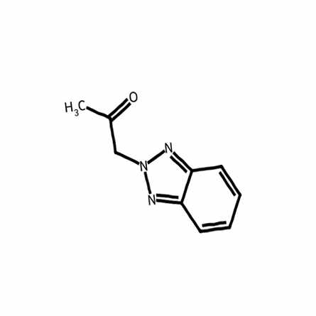 CC(=O)Cn1nc2ccccc2n1